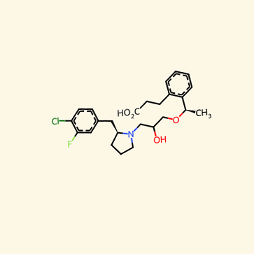 C[C@@H](OCC(O)CN1CCC[C@H]1Cc1ccc(Cl)c(F)c1)c1ccccc1CCC(=O)O